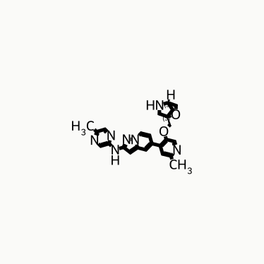 Cc1cnc(Nc2cc3cc(-c4cc(C)ncc4OC[C@]45CN[C@H](CO4)C5)ccn3n2)cn1